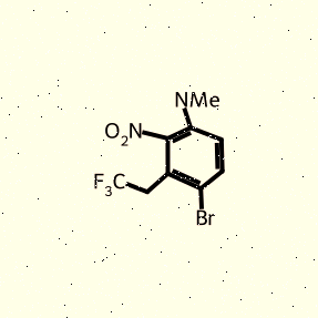 CNc1ccc(Br)c(CC(F)(F)F)c1[N+](=O)[O-]